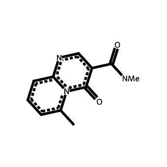 CNC(=O)c1cnc2cccc(C)n2c1=O